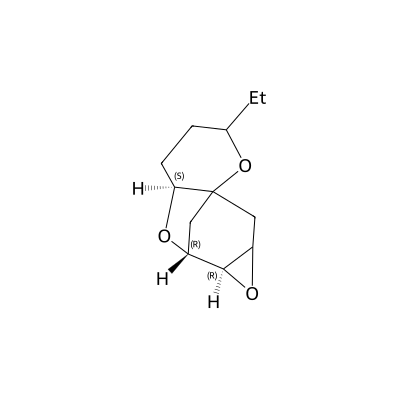 CCC1CC[C@@H]2O[C@@H]3CC2(CC2O[C@H]23)O1